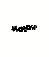 CCC(C)(C)Oc1ccc(C(C)(CC)c2ccc(OC(=O)C(C)(C)CC)cc2)cc1